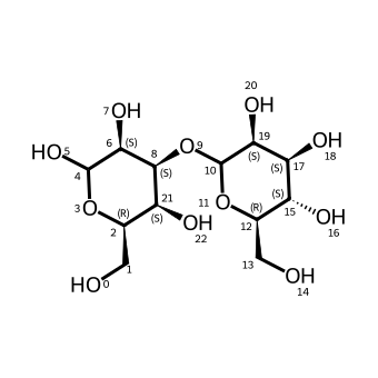 OC[C@H]1OC(O)[C@@H](O)[C@@H](OC2O[C@H](CO)[C@@H](O)[C@H](O)[C@@H]2O)[C@H]1O